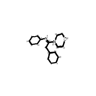 C1CCC(C/C(=N\C2CCCCC2)N2CCOCC2)CC1